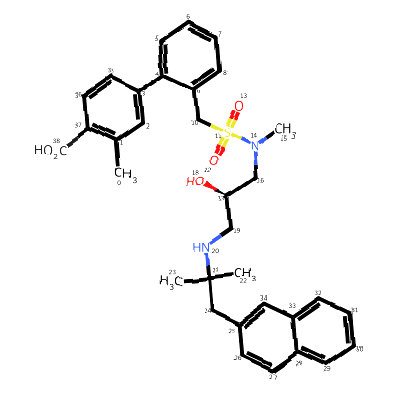 Cc1cc(-c2ccccc2CS(=O)(=O)N(C)C[C@H](O)CNC(C)(C)Cc2ccc3ccccc3c2)ccc1C(=O)O